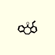 C=Cc1cccc2c1C(=O)c1ccccc1CC2